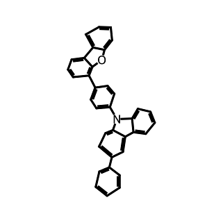 c1ccc(-c2ccc3c(c2)c2ccccc2n3-c2ccc(-c3cccc4c3oc3ccccc34)cc2)cc1